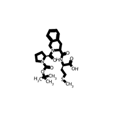 CSCC[C@@H](NC(=O)C1Cc2ccccc2CN1C(=O)[C@@H]1CCCN1C(=O)OC(C)(C)C)C(=O)O